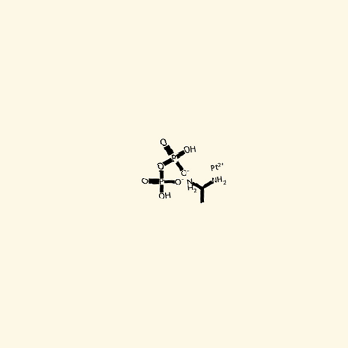 CC(N)N.O=P([O-])(O)OP(=O)([O-])O.[Pt+2]